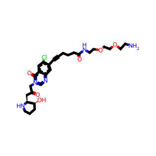 NCCOCCOCCNC(=O)CCCC#Cc1cc2ncn(CC(=O)C[C@@H]3NCCC[C@H]3O)c(=O)c2cc1Cl